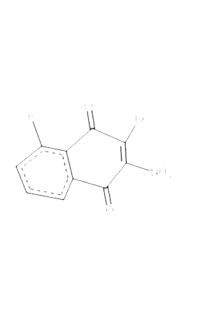 NC1=C(Br)C(=O)c2c(F)cccc2C1=O